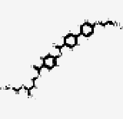 C=CCOc1ccc(-c2ccc(C(=O)Oc3ccc(C(=O)OCCC(OCCCCCCCCCCC)C(F)(F)F)cc3)cc2)cc1